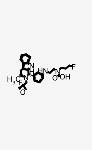 C[C@@H]1Cc2c([nH]c3ccccc23)[C@@H](c2cccc(NCCN(CCCF)C(=O)O)c2)N1CC1(F)COC1